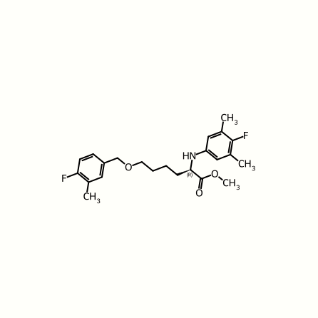 COC(=O)[C@@H](CCCCOCc1ccc(F)c(C)c1)Nc1cc(C)c(F)c(C)c1